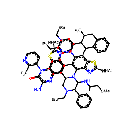 COCC(C)NC1C(c2ccccc2)N(CC(C)(C)C)CC(c2cccc3c2nc(N)c(=O)n3-c2cccnc2C(F)(F)F)N1c1c(-c2cccc3sc(NC(C)=O)nc23)c(N2CCN(CC(C)(C)C)C(CC(C)C)C2)c(C2c3ccccc3CC(C(F)(F)F)C2c2cccnc2)c2sc(NC(C)=O)nc12